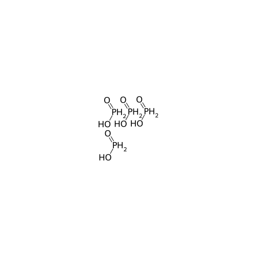 O=[PH2]O.O=[PH2]O.O=[PH2]O.O=[PH2]O